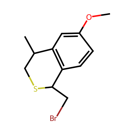 COc1ccc2c(c1)C(C)CSC2CBr